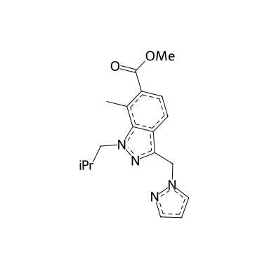 COC(=O)c1ccc2c(Cn3cccn3)nn(CC(C)C)c2c1C